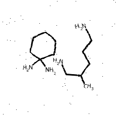 CC(CN)CCCN.NC1(N)CCCCC1